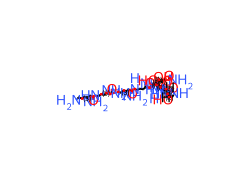 NCCC[C@H](N)CC(=O)NCCC[C@H](N)CC(=O)NCCC[C@H](N)CC(=O)NCCCC(N)CC(=O)N[C@@H]1[C@H](O)[C@@H](O)[C@@H](COC(N)=O)O[C@H]1NC1=N[C@@H]2C(=O)NC[C@@H](O)[C@H]2N1